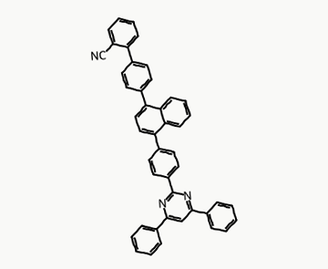 N#Cc1ccccc1-c1ccc(-c2ccc(-c3ccc(-c4nc(-c5ccccc5)cc(-c5ccccc5)n4)cc3)c3ccccc23)cc1